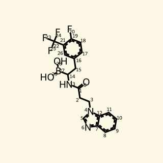 O=C(CCn1cnc2ccccc21)NC(Cc1ccc(F)c(C(F)(F)F)c1)B(O)O